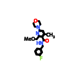 COCc1nc(N2CCOCC2)cc(C)c1C(=O)NCc1cccc(F)c1